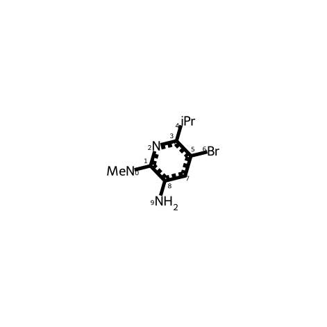 CNc1nc(C(C)C)c(Br)cc1N